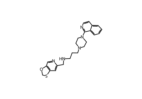 c1ccc2c(N3CCN(CCCNCc4cc5c(cn4)OCS5)CC3)nccc2c1